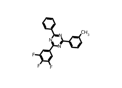 Cc1cccc(-c2nc(-c3ccccc3)nc(-c3cc(F)c(F)c(F)c3)n2)c1